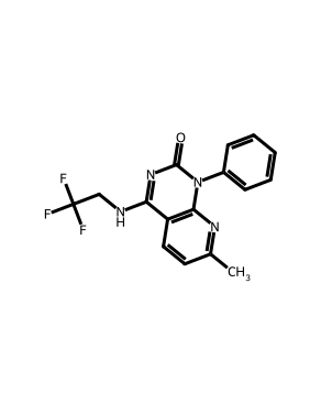 Cc1ccc2c(NCC(F)(F)F)nc(=O)n(-c3ccccc3)c2n1